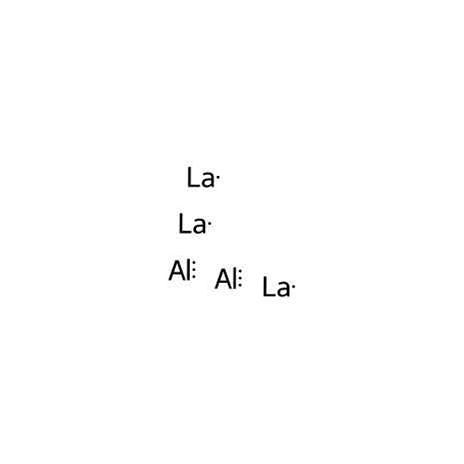 [Al].[Al].[La].[La].[La]